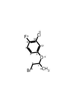 CC(CBr)Oc1ccc(F)c(Cl)c1